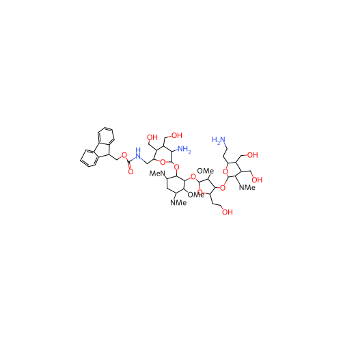 CNC1CC(NC)C(OC2OC(CNC(=O)OCC3c4ccccc4-c4ccccc43)C(CO)C(CO)C2N)C(OC2OC(CCO)C(OC3OC(CCN)C(CO)C(CO)C3NC)C2OC)C1OC